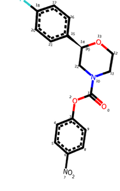 O=C(Oc1ccc([N+](=O)[O-])cc1)N1CCO[C@H](c2ccc(F)cc2)C1